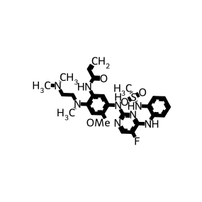 C=CC(=O)Nc1cc(Nc2ncc(F)c(Nc3ccccc3NS(C)(=O)=O)n2)c(OC)cc1N(C)CCN(C)C